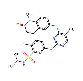 Cc1ccc(Nc2ncc(C)c(Nc3ccc4c(c3)CCC(=O)N4C)n2)cc1S(=O)(=O)NC(C)C